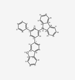 c1ccc(-c2cc(-c3ccc4c(c3)oc3ccccc34)cc(-n3c4ccccc4c4ccccc43)n2)cc1